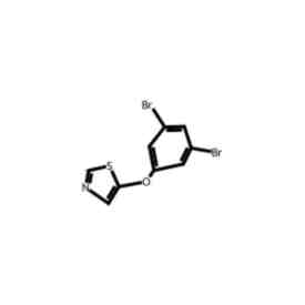 Brc1cc(Br)cc(Oc2cn[c]s2)c1